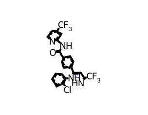 N=C(/C=C(\Nc1ccccc1Cl)c1ccc(C(=O)Nc2cc(C(F)(F)F)ccn2)cc1)C(F)(F)F